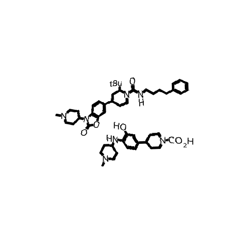 CN1CCC(Nc2ccc(C3CCN(C(=O)O)CC3)cc2O)CC1.CN1CCC(n2c(=O)oc3cc(C4CCN(C(=O)NCCCCc5ccccc5)C(C(C)(C)C)C4)ccc32)CC1